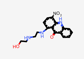 O=c1c2ccccc2[nH]c2c([N+](=O)[O-])ccc(NCCNCCO)c12